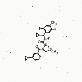 C[C@@H]1C[C@H](C(=O)NC(c2cc(F)c(C(F)(F)F)cc2F)C2CC2)N(C(=O)c2cc(C3CC3)ccn2)C1